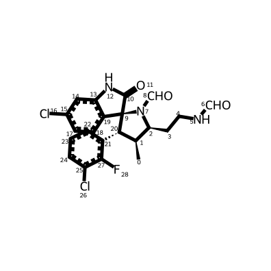 C[C@@H]1[C@H](CCNC=O)N(C=O)[C@@]2(C(=O)Nc3cc(Cl)ccc32)[C@H]1c1cccc(Cl)c1F